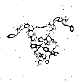 CN[C@@H](C)C(=O)NC(C(=O)N1CCCC1CN(CCc1ccccc1)C(=O)C(F)(F)F)C(C)OCC#CC#CCOC(C)C(NC(=O)[C@H](Cc1ccc2c(c1)c(C[C@@H]1CCCN1C(=O)C(NC(=O)[C@H](C)NC)C(C)(C)C)c(-c1ccc(-c3c(CC[C@@H]4CCCN4C(=O)C(NC(=O)[C@H](C)NC)C(C)(C)C)c4ccccc4n3CCO)cc1)n2CCO)NC)C(=O)N1CCC[C@H]1CN(CCCc1ccccc1)C(=O)C(F)(F)F